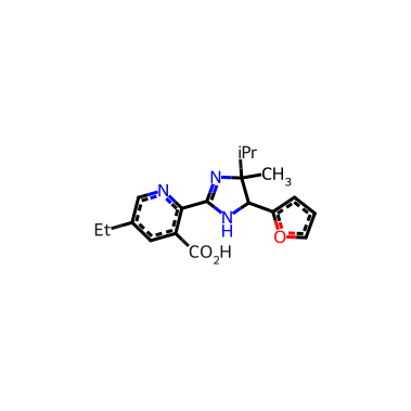 CCc1cnc(C2=NC(C)(C(C)C)C(c3ccco3)N2)c(C(=O)O)c1